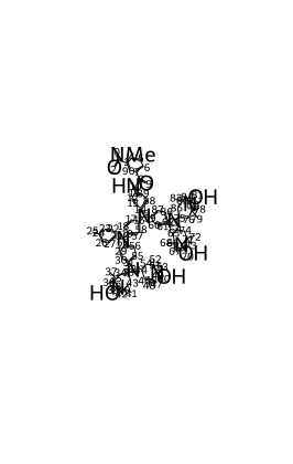 CNC(=O)c1cccc(C(=O)Nc2ccc(N(c3ccc(N(c4ccc(C)cc4)c4ccc(N(C5CC(C)(C)N(O)C(C)(C)C5)C5CC(C)(C)N(O)C(C)(C)C5)cc4)cc3)c3ccc(N(C4CC(C)(C)N(O)C(C)(C)C4)C4CC(C)(C)N(O)C(C)(C)C4)cc3)cc2)c1